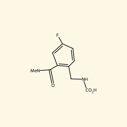 CNC(=O)c1cc(F)ccc1CNC(=O)O